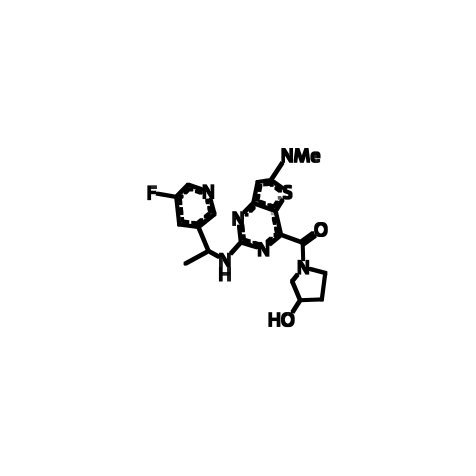 CNc1cc2nc(NC(C)c3cncc(F)c3)nc(C(=O)N3CCC(O)C3)c2s1